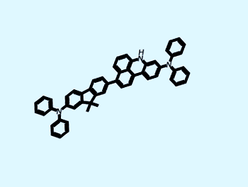 CC1(C)c2cc(-c3ccc4c5c(cccc35)Nc3cc(N(c5ccccc5)c5ccccc5)ccc3-4)ccc2-c2ccc(N(c3ccccc3)c3ccccc3)cc21